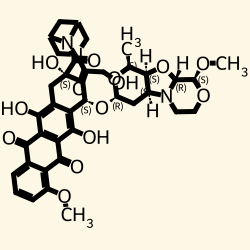 COc1cccc2c1C(=O)c1c(O)c3c(c(O)c1C2=O)C[C@@](O)(C(=O)N1C2CC1CN(C(=O)CO)C2)C[C@@H]3O[C@H]1C[C@H]2[C@H](O[C@@H]3[C@@H](OC)OCCN32)[C@H](C)O1